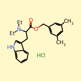 CCN(CC)C(Cc1c[nH]c2ccccc12)C(=O)OCc1cc(C)cc(C)c1.Cl